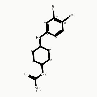 NC(=O)OC1CCC(Nc2ccc(F)c(F)c2)CC1